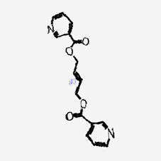 O=C(OC/C=C/COC(=O)c1cccnc1)c1cccnc1